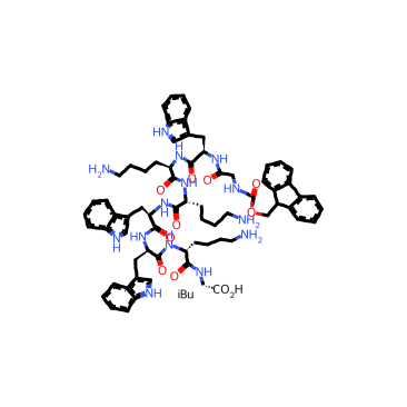 CC[C@H](C)[C@H](NC(=O)[C@@H](CCCCN)NC(=O)[C@@H](Cc1c[nH]c2ccccc12)NC(=O)[C@@H](Cc1c[nH]c2ccccc12)NC(=O)[C@@H](CCCCN)NC(=O)[C@@H](CCCCN)NC(=O)[C@@H](Cc1c[nH]c2ccccc12)NC(=O)CNC(=O)OCC1c2ccccc2-c2ccccc21)C(=O)O